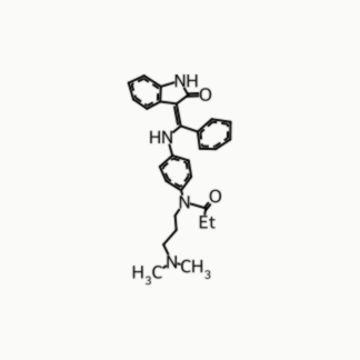 CCC(=O)N(CCCN(C)C)c1ccc(NC(=C2C(=O)Nc3ccccc32)c2ccccc2)cc1